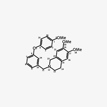 COc1ccc(Oc2cccc(CN3CCc4cc(OC)c(OC)cc4C3)c2)cc1